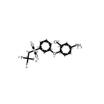 Nc1ccc(Oc2cccc(S(=O)(=O)CC(F)(F)F)c2)c(Cl)c1